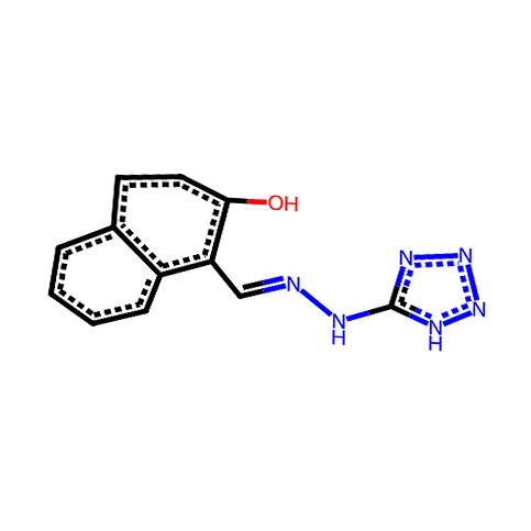 Oc1ccc2ccccc2c1C=NNc1nnn[nH]1